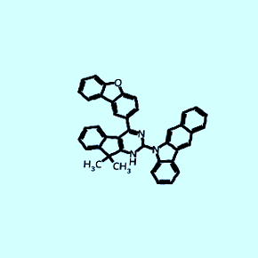 CC1(C)C2=C(C(c3ccc4oc5ccccc5c4c3)=NC(n3c4ccccc4c4cc5ccccc5cc43)N2)c2ccccc21